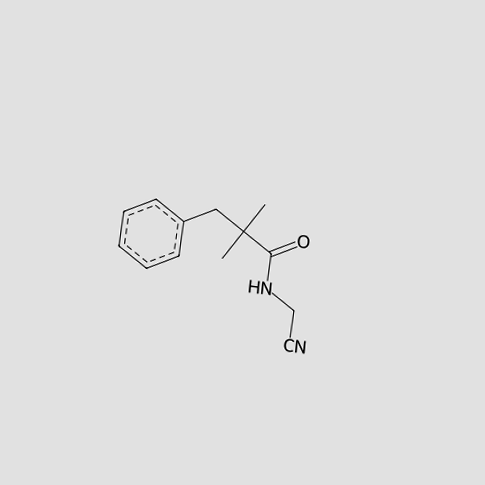 CC(C)(Cc1ccccc1)C(=O)NCC#N